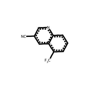 N#Cc1[c]nc2cccc(C(F)(F)F)c2c1